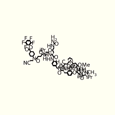 CC[C@H](C)[C@@H]([C@@H](CC(=O)N1CCC[C@H]1[C@H](OC)[C@@H](C)C(=O)N[C@@H](Cc1ccccc1)C(=O)NCc1ccc(NC(=O)[C@H](CCCNC(N)=O)NC(=O)[C@@H](NC(=O)CCC(=O)N(CCC#N)C2CCC(C(=O)Oc3c(F)c(F)c(F)c(F)c3F)CC2)C(C)C)cc1)OC)N(C)C(=O)[C@@H](NC(=O)[C@H](C(C)C)N(C)C)C(C)C